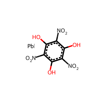 O=[N+]([O-])c1c(O)c([N+](=O)[O-])c(O)c([N+](=O)[O-])c1O.[Pb]